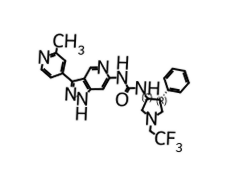 Cc1cc(-c2n[nH]c3cc(NC(=O)N[C@@H]4CN(CC(F)(F)F)C[C@H]4c4ccccc4)ncc23)ccn1